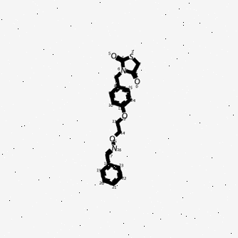 O=C1CSC(=O)N1Cc1ccc(OCCO/N=C/c2ccccc2)cc1